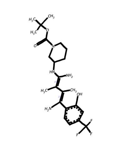 CC(=C(/N)c1ccc(C(F)(F)F)cc1O)/C(C)=C(\N)NC1CCCN(C(=O)OC(C)(C)C)C1